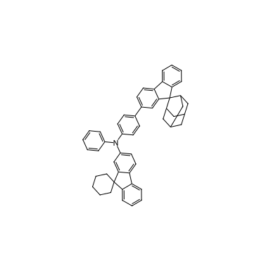 c1ccc(N(c2ccc(-c3ccc4c(c3)C3(c5ccccc5-4)C4CC5CC(C4)CC3C5)cc2)c2ccc3c(c2)C2(CCCCC2)c2ccccc2-3)cc1